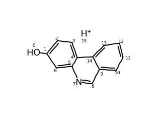 Oc1ccc2c(c1)ncc1ccccc12.[H+]